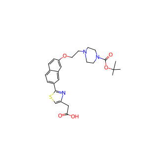 CC(C)(C)OC(=O)N1CCN(CCOc2ccc3ccc(-c4nc(CC(=O)O)cs4)cc3c2)CC1